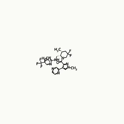 C=C(/C=N\C(=N/C)NC[C@@H]1[C@H](C)CC(F)(F)CN1C(=O)c1nn(C)cc1-c1cnccn1)C(F)(F)F